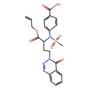 C=CCOC(=O)C(CCn1nnc2ccccc2c1=O)N(c1ccc(C(=O)O)cc1)S(C)(=O)=O